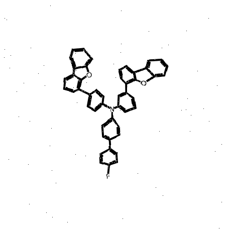 Fc1ccc(-c2ccc(N(c3ccc(-c4cccc5c4oc4ccccc45)cc3)c3cccc(-c4cccc5c4oc4ccccc45)c3)cc2)cc1